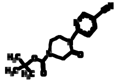 CC(C)(C)OC(=O)N1CCN(c2ccc(C#N)cn2)C(=O)C1